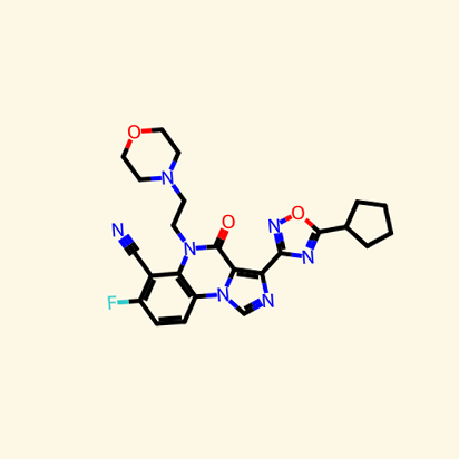 N#Cc1c(F)ccc2c1n(CCN1CCOCC1)c(=O)c1c(-c3noc(C4CCCC4)n3)ncn12